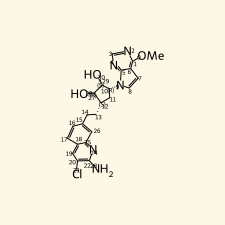 COc1ncnc2c1ccn2[C@@H]1C[C@H](CCc2ccc3cc(Cl)c(N)nc3c2)[C@@H](O)[C@H]1O